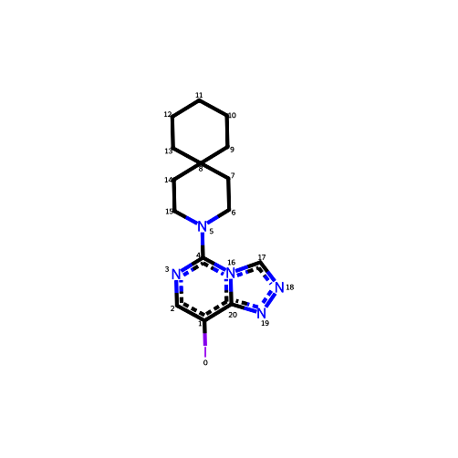 Ic1cnc(N2CCC3(CCCCC3)CC2)n2cnnc12